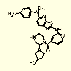 Cc1ccc(N(C)c2ccc3nc(Nc4cc(C(=O)N5CCNCC5N5CCC(O)C5)ccn4)sc3n2)cc1